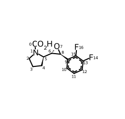 O=C(O)N1CCC[C@@H]1[C@@H]1O[C@H]1c1cccc(F)c1F